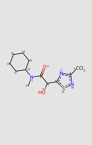 CN(C(=O)C(O)c1nc(C(Cl)(Cl)Cl)ns1)C1CCCCC1